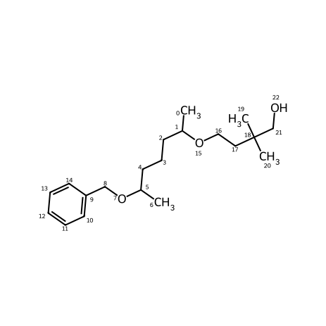 CC(CCCC(C)OCc1ccccc1)OCCC(C)(C)CO